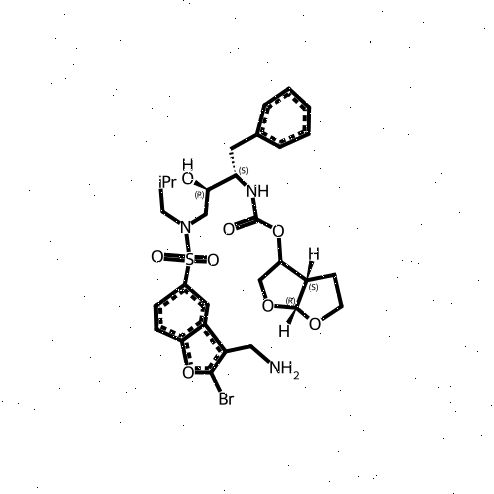 CC(C)CN(C[C@@H](O)[C@H](Cc1ccccc1)NC(=O)OC1CO[C@H]2OCC[C@@H]12)S(=O)(=O)c1ccc2oc(Br)c(CN)c2c1